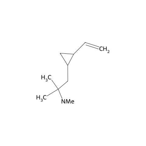 C=CC1CC1CC(C)(C)NC